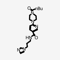 CCCCC(=O)N1CCN(c2ccc(C(=O)NCCCn3ccnc3)cn2)CC1